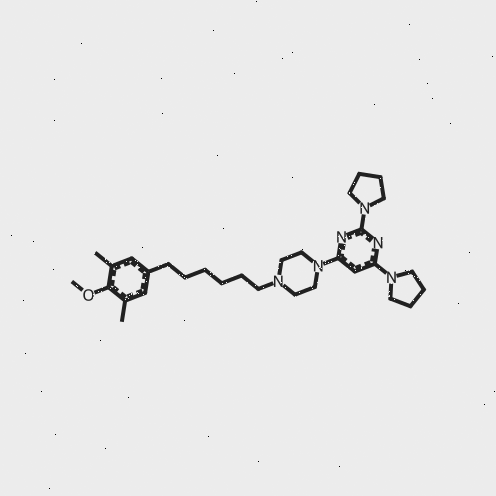 COc1c(C)cc(CCCCCCN2CCN(c3cc(N4CCCC4)nc(N4CCCC4)n3)CC2)cc1C